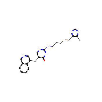 Cc1[nH]cnc1CSCCCNc1ncc(Cc2cncc3ccccc23)c(=O)[nH]1